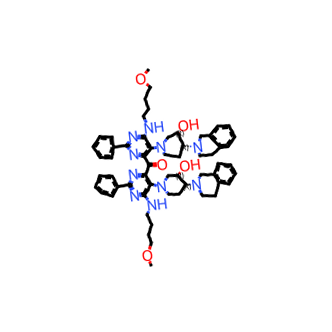 COCCCCNc1nc(-c2ccccc2)nc(C(=O)c2nc(-c3ccccc3)nc(NCCCCOC)c2N2CC[C@@H](N3CCc4ccccc4C3)[C@H](O)C2)c1N1CC[C@@H](N2CCc3ccccc3C2)[C@H](O)C1